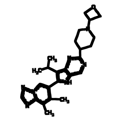 Cc1c(-c2[nH]c3cnc(C4CCN(C5COC5)CC4)nc3c2C(C)C)cn2ncnc2c1C